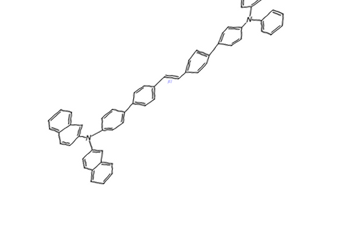 C(=C\c1ccc(-c2ccc(N(c3ccc4ccccc4c3)c3ccc4ccccc4c3)cc2)cc1)/c1ccc(-c2ccc(N(c3ccccc3)c3ccccc3)cc2)cc1